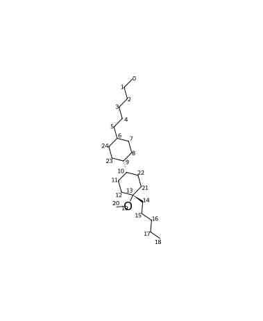 CCCCCCC1CCC([C@H]2CC[C@@](CCCCC)(OC)CC2)CC1